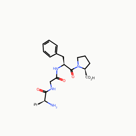 CC(C)[C@H](N)C(=O)NCC(=O)N[C@@H](Cc1ccccc1)C(=O)N1CCC[C@H]1C(=O)O